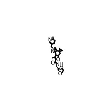 Cc1ccc(Cn2cc3c(n2)-c2c(oc(C(=O)NC[C@@H]4COCCO4)c2C)CC32CC2)cn1